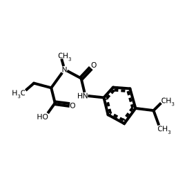 CCC(C(=O)O)N(C)C(=O)Nc1ccc(C(C)C)cc1